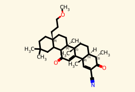 COCCC[C@]12CCC(C)(C)CC1C1C(=O)C=C3[C@@]4(C)C=C(C#N)C(=O)[C@@H](C)[C@@H]4CC[C@@]3(C)[C@]1(C)CC2